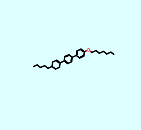 CCCCCCCOc1ccc(-c2ccc(C3=CCC(CCCCC)CC3)cc2)cc1